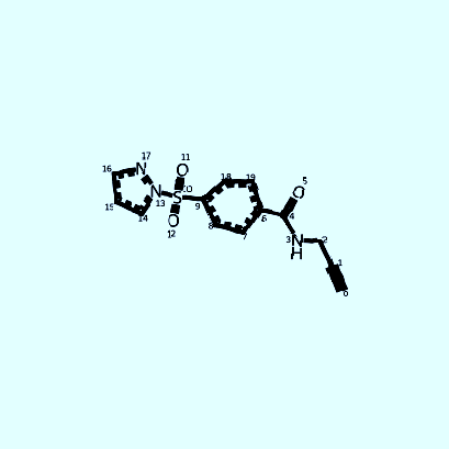 C#CCNC(=O)c1ccc(S(=O)(=O)n2cccn2)cc1